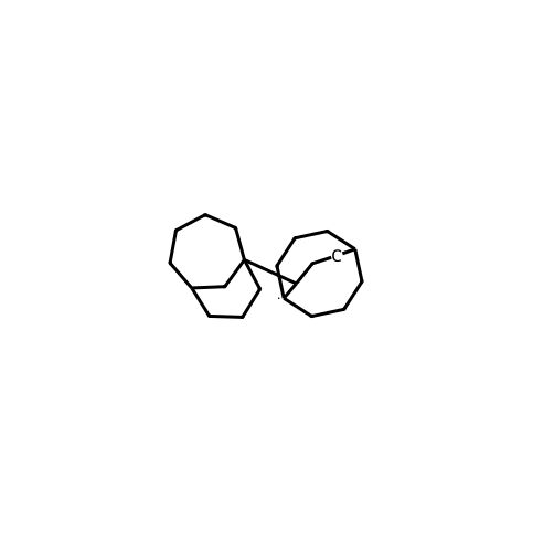 C1C[C]2CCCC(C1)CCC2C12CCCCC(CCC1)C2